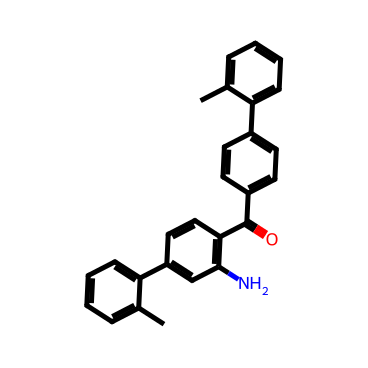 Cc1ccccc1-c1ccc(C(=O)c2ccc(-c3ccccc3C)cc2N)cc1